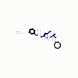 COc1cccc(CNC(=O)c2cc3n(n2)CC(C)(C(=O)NC2CCCCCC2)N(C)C3=O)c1